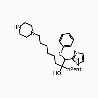 CCCCCC(O)(CCCCCCN1CCNCC1)C(Oc1ccccc1)c1ncc[nH]1